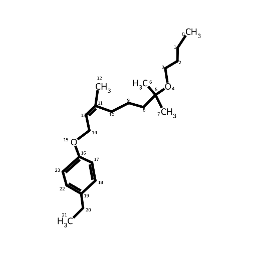 CCCCOC(C)(C)CCCC(C)=CCOc1ccc(CC)cc1